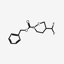 O=C(OCc1ccccc1)N1CCC(C(F)F)CC1